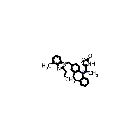 CCCc1nc2c(C)cccc2n1Cc1ccc2c(c1)CCc1ccccc1/C2=C(\C)c1noc(=O)[nH]1